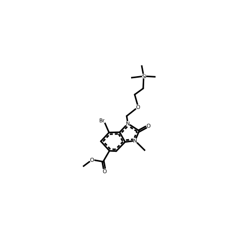 COC(=O)c1cc(Br)c2c(c1)n(C)c(=O)n2COCC[Si](C)(C)C